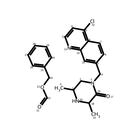 CC1CN(Cc2ccc3c(Cl)ccnc3c2)C(=O)C(C)N1.O=COCc1ccccc1